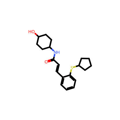 O=C(C=Cc1ccccc1SC1CCCC1)NC1CCC(O)CC1